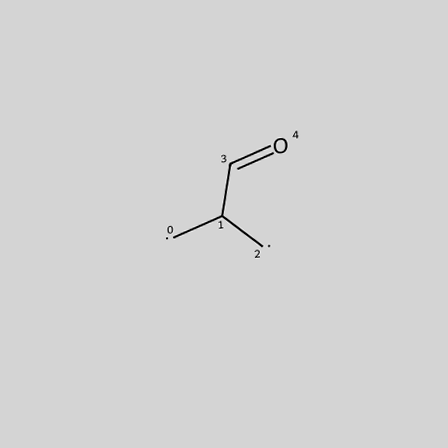 [CH2]C([CH2])C=O